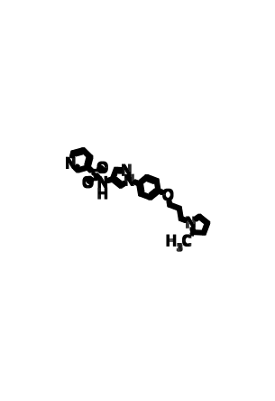 C[C@@H]1CCCN1CCCOc1ccc(-n2cc(NS(=O)(=O)c3cccnc3)cn2)cc1